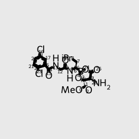 COC(=O)[C@@H]1OB([C@H](CC(C)C)NC(=O)CNC(=O)c2cc(Cl)ccc2Cl)OC(=O)[C@H]1N